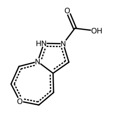 O=C(O)n1cc2ccoccn-2[nH]1